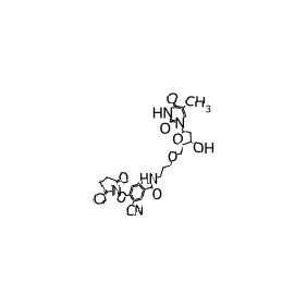 Cc1cn([C@H]2C[C@H](O)[C@@H](COCCCNC(=O)c3ccc(ON4C(=O)CCC4=O)c(C#N)c3)O2)c(=O)[nH]c1=O